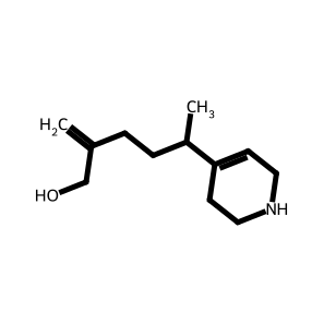 C=C(CO)CCC(C)C1=CCNCC1